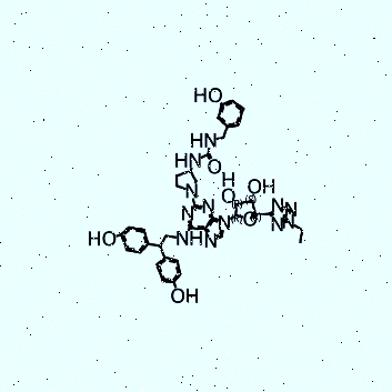 CCn1nnc([C@H]2O[C@@H](n3cnc4c(NCC(c5ccc(O)cc5)c5ccc(O)cc5)nc(N5CCC(NC(=O)NCc6cccc(O)c6)C5)nc43)[C@H](O)[C@@H]2O)n1